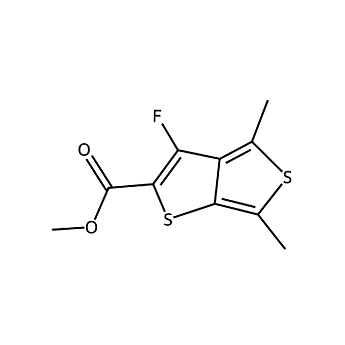 COC(=O)c1sc2c(C)sc(C)c2c1F